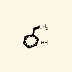 C=Cc1ccccc1.[HH]